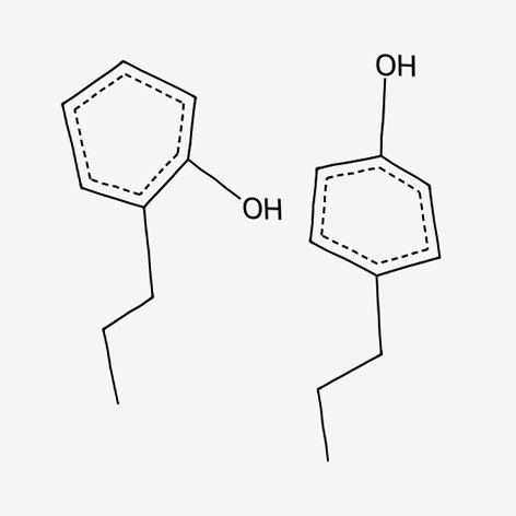 CCCc1ccc(O)cc1.CCCc1ccccc1O